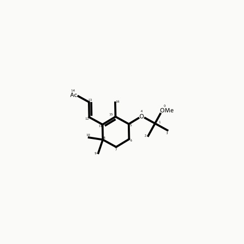 COC(C)(C)OC1CCC(C)(C)C(C=CC(C)=O)=C1C